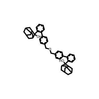 OC1(c2ccccc2-c2ccc(COCc3ccc(-c4ccccc4C4(O)C5CC6CC(C5)CC4C6)cc3)cc2)C2CC3CC(C2)CC1C3